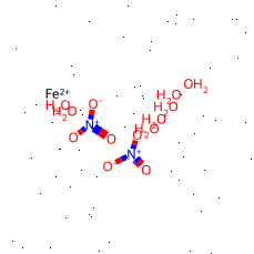 O.O.O.O.O.O.O.O=[N+]([O-])[O-].O=[N+]([O-])[O-].[Fe+2]